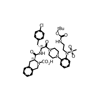 CC(C)(C)OC(=O)NCCN(c1ccccc1N1CCN(C(=O)[C@@H](Cc2ccc(Cl)cc2)NC(=O)[C@@H]2Cc3ccccc3CN2C(=O)O)CC1)S(C)(=O)=O